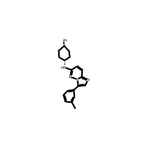 Cc1cccc(-c2cnc3ccc(N[C@H]4CC[C@H](C(C)C)CC4)nn23)c1